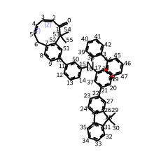 C=C1/C=C\C=C/Cc2ccc(-c3cccc(N(c4cccc(-c5ccc6c(c5)C(C)(C)c5ccccc5-6)c4)c4ccccc4-c4ccccc4)c3)cc2C1(C)C